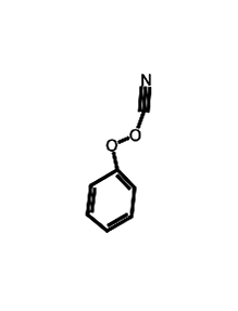 N#COOc1ccccc1